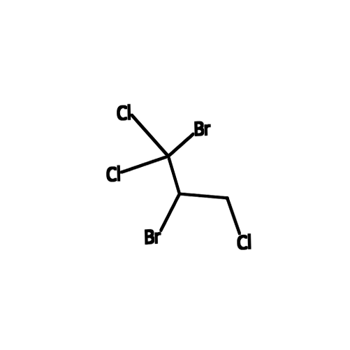 ClCC(Br)C(Cl)(Cl)Br